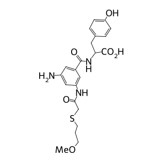 COCCCSCC(=O)Nc1cc(N)cc(C(=O)NC(Cc2ccc(O)cc2)C(=O)O)c1